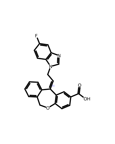 O=C(O)c1ccc2c(c1)/C(=C/Cn1cnc3cc(F)ccc31)c1ccccc1CO2